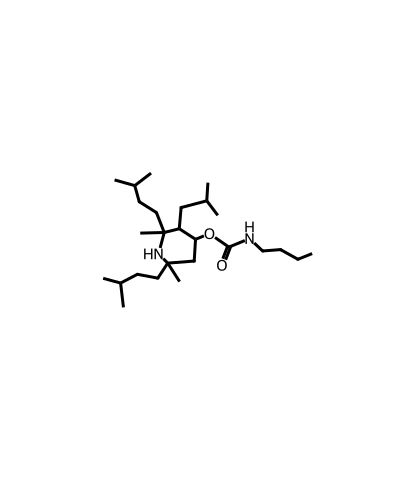 CCCCNC(=O)OC1CC(C)(CCC(C)C)NC(C)(CCC(C)C)C1CC(C)C